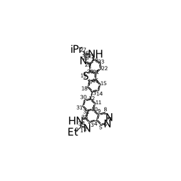 CCc1nc2c3cnncc3c3cc(-c4ccc5c(c4)sc4c5ccc5[nH]c(C(C)C)nc54)ccc3c2[nH]1